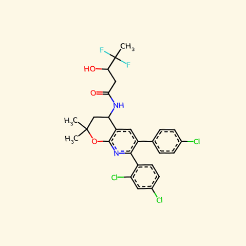 CC1(C)CC(NC(=O)CC(O)C(C)(F)F)c2cc(-c3ccc(Cl)cc3)c(-c3ccc(Cl)cc3Cl)nc2O1